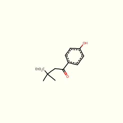 CCOC(=O)C(C)(C)CC(=O)c1ccc(O)cc1